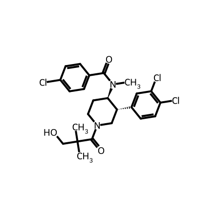 CN(C(=O)c1ccc(Cl)cc1)[C@@H]1CCN(C(=O)C(C)(C)CO)C[C@H]1c1ccc(Cl)c(Cl)c1